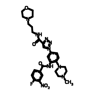 CN1CCN(c2ccc(-n3cc(C(=O)NCCCN4CCOCC4)nn3)cc2NC(=O)c2ccc(F)c([N+](=O)[O-])c2)CC1